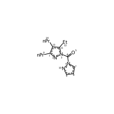 CCCc1nn(C(=O)n2cccn2)c(CC)c1CCC